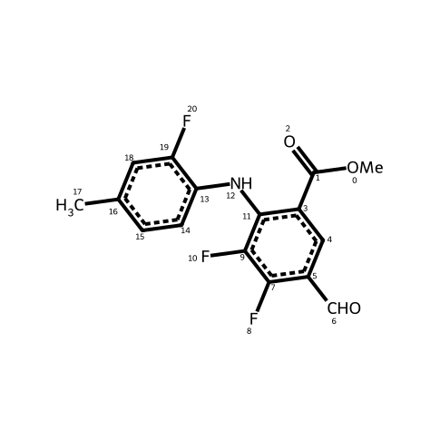 COC(=O)c1cc(C=O)c(F)c(F)c1Nc1ccc(C)cc1F